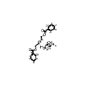 C=C.C=C.O=C(OCCOCCOC(=O)c1ccccc1)c1ccccc1